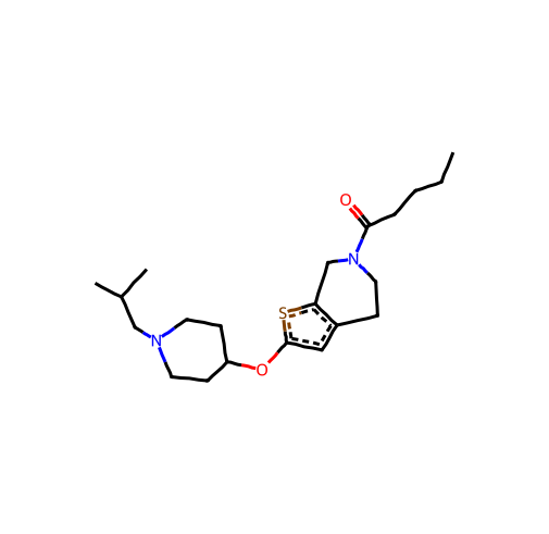 CCCCC(=O)N1CCc2cc(OC3CCN(CC(C)C)CC3)sc2C1